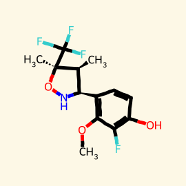 COc1c([C@H]2NO[C@@](C)(C(F)(F)F)[C@H]2C)ccc(O)c1F